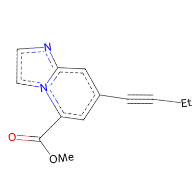 CCC#Cc1cc(C(=O)OC)n2ccnc2c1